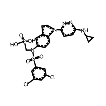 O=P(O)(O)CN(c1ccc2c(ccn2-c2ccc(NC3CC3)nn2)c1)S(=O)(=O)c1cc(Cl)cc(Cl)c1